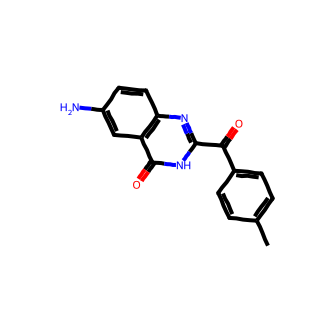 Cc1ccc(C(=O)c2nc3ccc(N)cc3c(=O)[nH]2)cc1